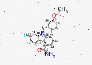 CCOc1cccc(Cn2c3cc(F)c[c]c3c3c(C(N)=O)cccc32)c1